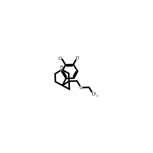 FC(F)(F)COCC12CNCCC1(c1ccc(Cl)c(Cl)c1)C2